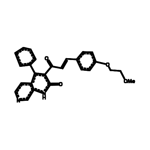 COCCOc1ccc(/C=C/C(=O)c2c(-c3ccccc3)c3ccncc3[nH]c2=O)cc1